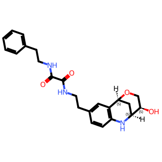 O=C(NCCc1ccccc1)C(=O)NCCc1ccc2c(c1)[C@@H]1C[C@H](N2)[C@H](O)CO1